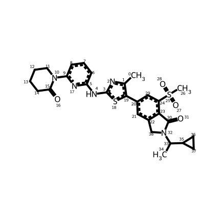 Cc1nc(Nc2cccc(N3CCCCC3=O)n2)sc1-c1cc2c(c(S(C)(=O)=O)c1)C(=O)N(C(C)C1CC1)C2